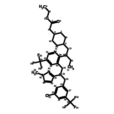 CCOC(=O)CC1CCC(CN(CC)c2ncc(C(F)(F)F)cc2CN(Cc2cc(Cl)cc(C(F)(F)F)c2)c2ccn(C)n2)CC1